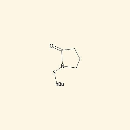 CCCCSN1CCCC1=O